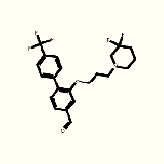 O=Cc1ccc(-c2ccc(C(F)(F)F)cc2)c(OCCCN2CCCC(F)(F)C2)c1